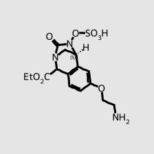 CCOC(=O)C1c2ccc(OCCN)cc2[C@H]2CN1C(=O)N2OS(=O)(=O)O